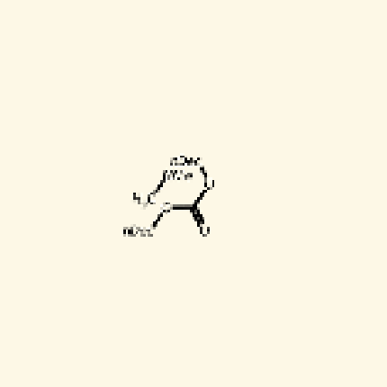 CCCCCCCCCCOC(=O)OCCCCCCCCCC.CNC